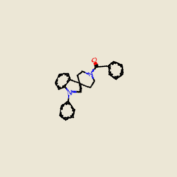 O=C(c1ccccc1)N1CCC2(CC1)CN(c1ccccc1)c1ccccc12